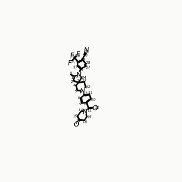 CC1CC2(CCN(c3ccc(C(=O)N4CCC(=O)CC4)cc3)CC2)CN1c1ccc(C#N)c(C(F)(F)F)c1